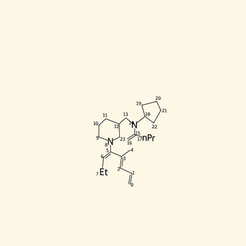 C=C/C=C(C)/C(=C\CC)N1CCCC(CN(C(=C)CCC)C2CCCC2)C1